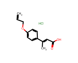 C=CCOc1ccc(C(C)=CC(=O)O)cc1.Cl